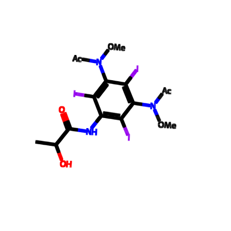 CON(C(C)=O)c1c(I)c(NC(=O)C(C)O)c(I)c(N(OC)C(C)=O)c1I